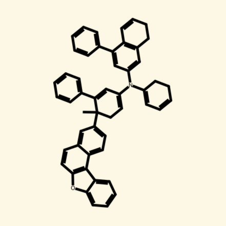 CC1(c2ccc3c(ccc4oc5ccccc5c43)c2)CC=C(N(C2=CC=CCC2)c2cc3c(c(-c4ccccc4)c2)C=CCC3)C=C1c1ccccc1